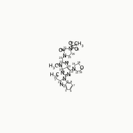 CCc1nc2ccccc2n1-c1nc(N2CCOCC2)c2nc(CN3CCN(S(C)(=O)=O)CC3=O)n(C)c2n1